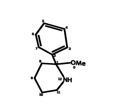 COC1(c2ccccc2)CCCCN1